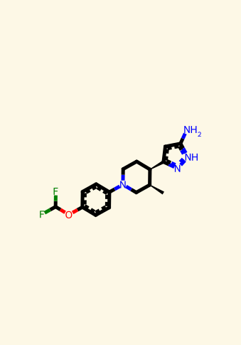 C[C@H]1CN(c2ccc(OC(F)F)cc2)CC[C@H]1c1cc(N)[nH]n1